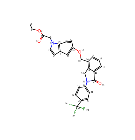 CCOC(=O)Cn1ccc2cc(OCc3cccc4c3CN(c3ccc(C(F)(F)F)cc3)C4=O)ccc21